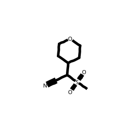 CS(=O)(=O)C(C#N)C1CCOCC1